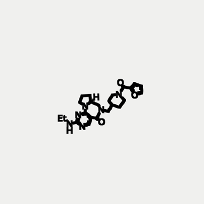 CCNc1ncc2c(n1)N1CCC[C@H]1CN(CC1CCN(C(=O)c3ccco3)CC1)C2=O